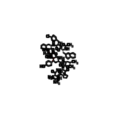 CC(=O)N[C@H](Cc1ccc2ccccc2c1)C(=O)N[C@H](Cc1ccc(Cl)cc1)C(=O)N[C@H](Cc1cccnc1)C(=O)N[C@@H](CO)C(=O)N[C@@H](Cc1ccc(O)cc1)C(=O)N[C@H](CCCNC(N)=O)C(=O)N[C@@H](CC(C)C)C(=O)N[C@H](CCCNC(=N)N)C(=O)N1CCC[C@H]1C(=O)N[C@H](C)C(N)=O